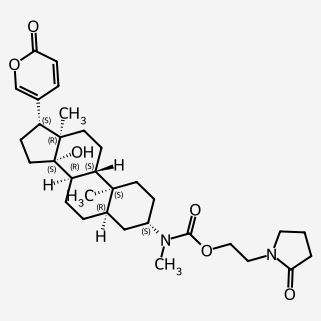 CN(C(=O)OCCN1CCCC1=O)[C@H]1CC[C@@]2(C)[C@H](CC[C@@H]3[C@@H]2CC[C@]2(C)[C@@H](c4ccc(=O)oc4)CC[C@]32O)C1